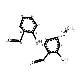 C=C.O=Cc1ccccc1O.O=Cc1ccccc1O